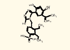 CCc1c(Cn2c(O)nnc2-c2cc(C(C)C)c(O)cc2O)ccc(P(=O)(O)O)c1CC